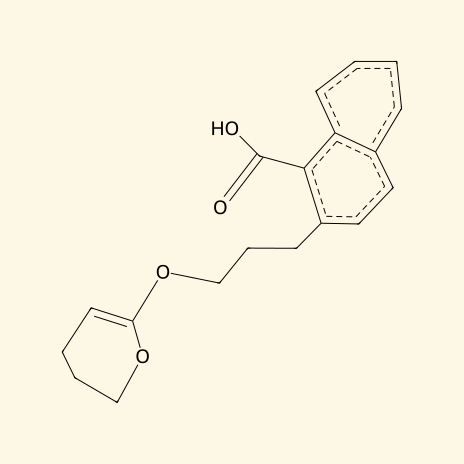 O=C(O)c1c(CCCOC2=CCCCO2)ccc2ccccc12